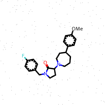 COc1ccc(C2CCCN(C3CCN(Cc4ccc(F)cc4)C3=O)CC2)cc1